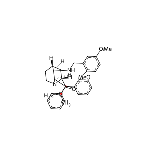 COc1ccc(OC)c(CN[C@@H]2[C@@H]3CCN([C@@H](C(=O)N(C)C)C3)[C@@H]2C(c2ccccc2)c2ccccc2)c1